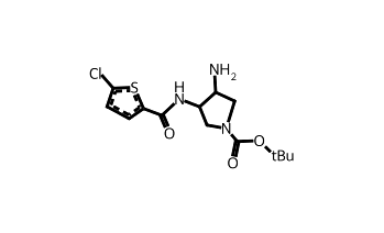 CC(C)(C)OC(=O)N1CC(N)C(NC(=O)c2ccc(Cl)s2)C1